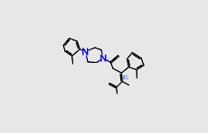 C=C(C)/C(C)=C(\CC(=C)N1CCN(c2ccccc2C)CC1)c1ccccc1C